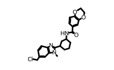 Cn1c(C2CCCC(NC(=O)c3ccc4c(c3)OCCO4)C2)nc2ccc(CCl)cc21